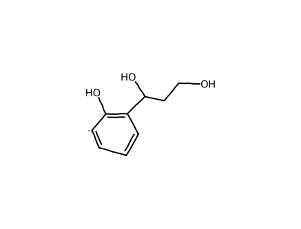 OCCC(O)c1ccc[c]c1O